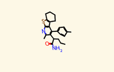 CCCC(C(N)=O)c1c(C)nc2sc3c(c2c1-c1ccc(C)cc1)CCCC3